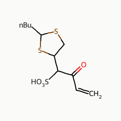 C=CC(=O)C(C1CSC(CCCC)S1)S(=O)(=O)O